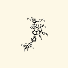 CCc1nn(C)cc1S(=O)(=O)NC(=O)c1ccc(-n2ccc(OCC(C)(C)C(F)(F)F)n2)nc1N1C[C@@H](C)CC1(C)C